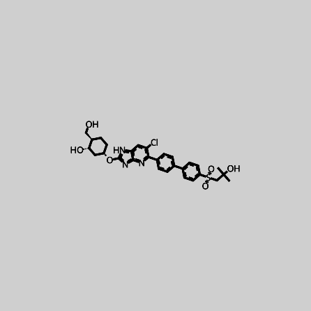 CC(C)(O)CS(=O)(=O)c1ccc(-c2ccc(-c3nc4nc(O[C@H]5CC[C@H](CO)[C@@H](O)C5)[nH]c4cc3Cl)cc2)cc1